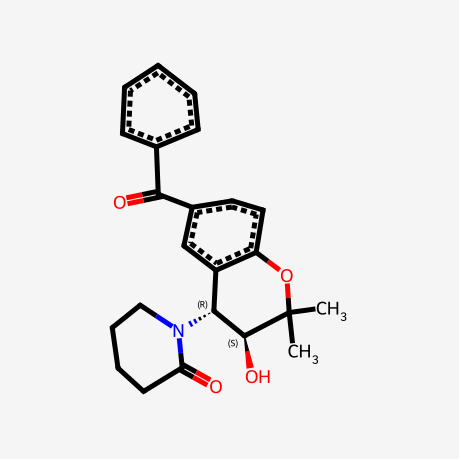 CC1(C)Oc2ccc(C(=O)c3ccccc3)cc2[C@@H](N2CCCCC2=O)[C@@H]1O